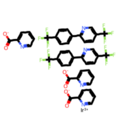 FC(F)(F)c1ccc(-c2ccc(C(F)(F)F)cn2)cc1.FC(F)(F)c1ccc(-c2ccc(C(F)(F)F)cn2)cc1.O=C([O-])c1ccccn1.O=C([O-])c1ccccn1.O=C([O-])c1ccccn1.[Ir+3]